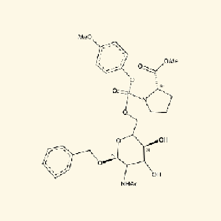 COC(=O)[C@@H]1CCCN1P(=O)(OCC1O[C@H](OCc2ccccc2)C(NC(C)=O)C(O)[C@@H]1O)Oc1ccc(OC)cc1